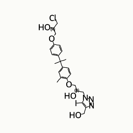 Cc1cc(C(C)(C)c2ccc(OC[C@@H](O)CCl)cc2)ccc1OC[C@H](O)Cn1nnc(CO)c1I